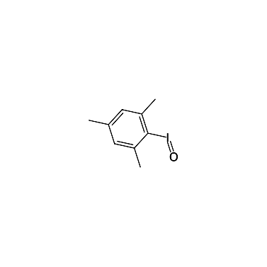 Cc1cc(C)c(I=O)c(C)c1